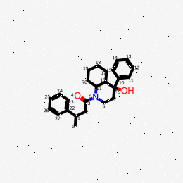 CC(CC(=O)N1CCC(O)(c2ccccc2)C2CCCCC21)c1ccccc1